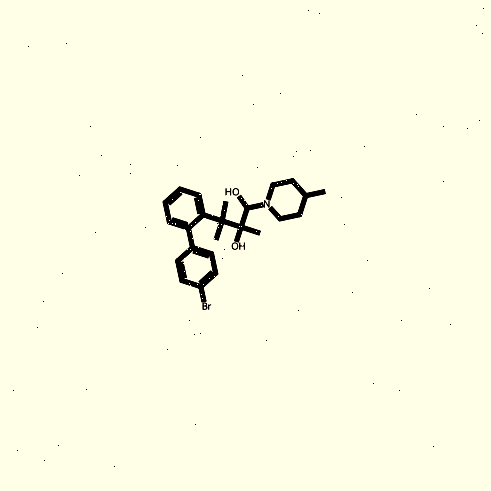 CC1CCN(C(O)C(C)(O)C(C)(C)c2ccccc2-c2ccc(Br)cc2)CC1